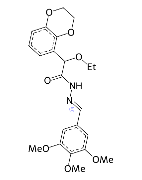 CCOC(C(=O)N/N=C/c1cc(OC)c(OC)c(OC)c1)c1cccc2c1OCCO2